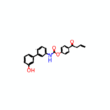 C=CCC(=O)c1ccc(OC(=O)Nc2cc[c]c(-c3cccc(O)c3)c2)cc1